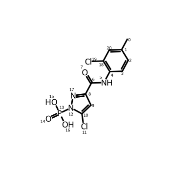 Cc1ccc(NC(=O)c2cc(Cl)n(P(=O)(O)O)n2)c(Cl)c1